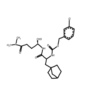 CN(C)C(=O)CC[C@@H](C=O)NC(=O)C(CC12CCC(CC1)C2)NC(=O)OCc1cccc(Cl)c1